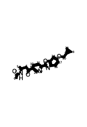 CC(=O)NC(C)CC(=O)c1ccc(-c2nc3ccc(OCC4CC4)cc3o2)nc1